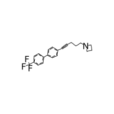 FC(F)(F)c1ccc(-c2ccc(C#CCCCN3CCC3)cc2)cc1